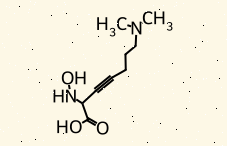 CN(C)CCCC#CC(NO)C(=O)O